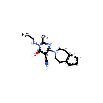 CCNn1c(C)nc(N2CCc3ccccc3CC2)c(C#N)c1=O